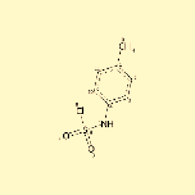 Cc1ccc(NS(=O)(=O)Cl)cc1